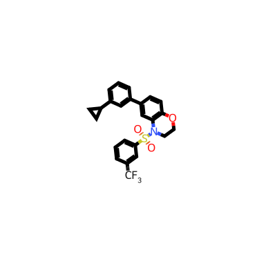 O=S(=O)(c1cccc(C(F)(F)F)c1)N1CCOc2ccc(-c3cccc(C4CC4)c3)cc21